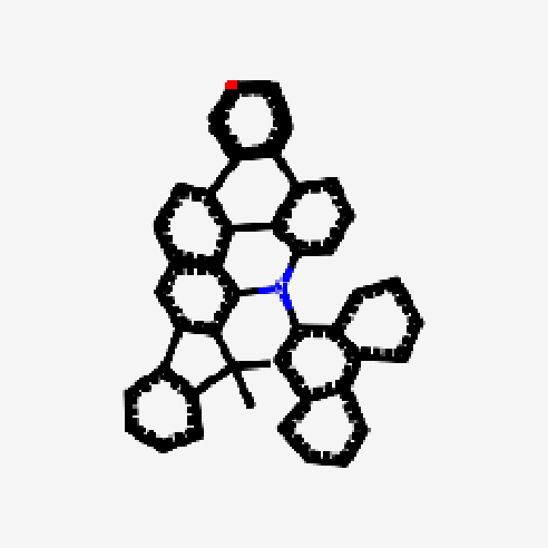 CC1(C)c2ccccc2-c2cccc(N(c3cccc(-c4ccccc4)c3-c3ccccc3-c3ccccc3)c3cc4ccccc4c4ccccc34)c21